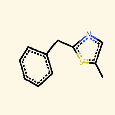 Cc1cnc(Cc2ccccc2)s1